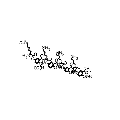 COc1ccc(NC(=O)[C@H](CCCCN)NC(=O)c2cc(NC(=O)[C@H](CCCCN)NC(=O)c3cc(OC(=O)[C@H](CCCCN)NC(=O)c4cc(OC(=O)[C@@H](N)CCCCCN)ccc4OCC(=O)O)ccc3OC)ccc2OC)cc1C(N)=O